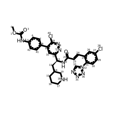 COC(=O)Nc1ccc(-c2cc([C@H](CC3CCCNC3)NC(=O)C=Cc3cc(Cl)ccc3-n3cnnn3)nnc2Cl)cc1